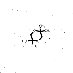 CC1(C)COC(C)(C)CO1